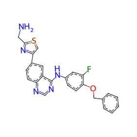 NCc1nc(-c2ccc3ncnc(Nc4ccc(OCc5ccccc5)c(F)c4)c3c2)cs1